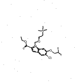 CCOC(=O)c1cc2cc(Cl)c(OCC(F)F)cc2n1COCCS(C)(C)C